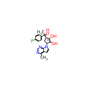 Cc1ncnc2c1ccn2C1CC([C@@](C)(O)c2ccc(F)cc2)[C@@H](O)[C@H]1O